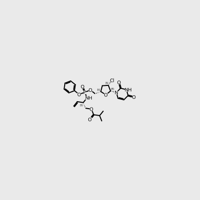 C=C[C@@H](COC(=O)C(C)C)NP(=O)(OC[C@@H]1C[C@H](Cl)[C@H](n2ccc(=O)[nH]c2=O)O1)Oc1ccccc1